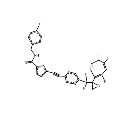 C[C@H]1C=CC(C2(C(F)(F)c3ccc(C#Cc4ccc(C(=O)NCc5ccc(F)cc5)s4)cn3)CO2)=C(F)C=C1F